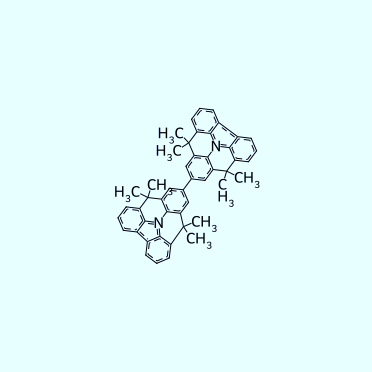 CC1(C)c2cc(-c3cc4c5c(c3)C(C)(C)c3cccc6c7cccc(c7n-5c36)C4(C)C)cc3c2-n2c4c1cccc4c1cccc(c12)C3(C)C